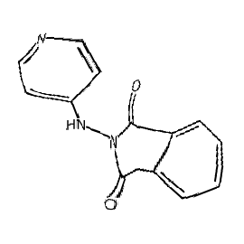 O=C1c2ccccc2C(=O)N1Nc1ccncc1